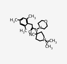 Cc1cc(C)c(CC(=O)N(N2CCOCC2)C2(C#N)CCN(N(C)C)CC2)c(C)c1